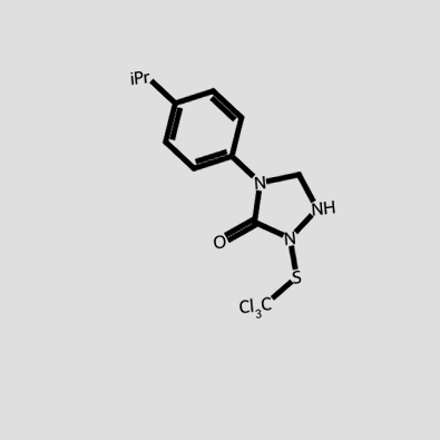 CC(C)c1ccc(N2CNN(SC(Cl)(Cl)Cl)C2=O)cc1